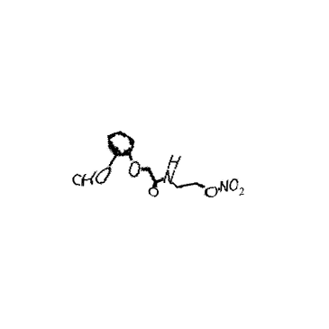 O=Cc1ccccc1OCC(=O)NCCO[N+](=O)[O-]